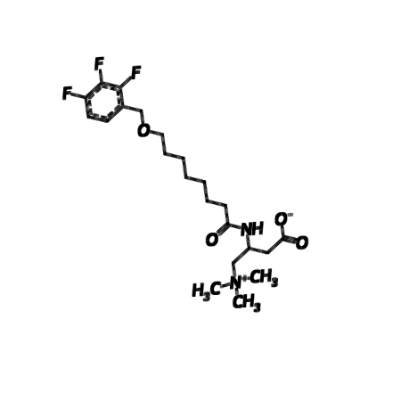 C[N+](C)(C)CC(CC(=O)[O-])NC(=O)CCCCCCCOCc1ccc(F)c(F)c1F